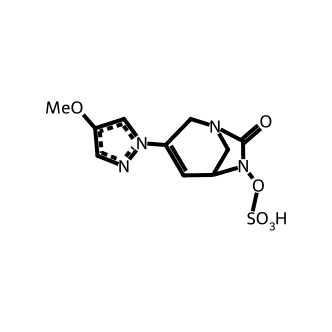 COc1cnn(C2=CC3CN(C2)C(=O)N3OS(=O)(=O)O)c1